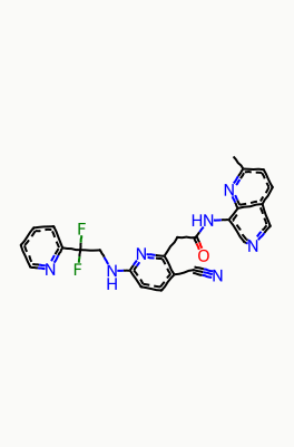 Cc1ccc2cncc(NC(=O)Cc3nc(NCC(F)(F)c4ccccn4)ccc3C#N)c2n1